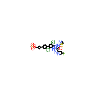 CS(=O)(=O)OCC1CC(c2ccc(-c3cc(Cl)c4cn([C@@H](C(=O)Nc5nccs5)c5ncn6c5C[C@@H](F)C6)nc4c3Cl)cc2)C1